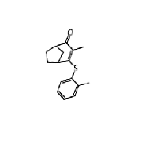 CC1=C(Sc2ccccc2C)C2CCC(C2)C1=O